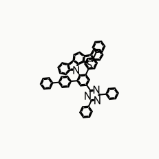 c1ccc(-c2ccc(-c3cc(-c4nc(-c5ccccc5)nc(-c5ccccc5)n4)cc(-c4ccc(-c5ccccc5)cc4)c3-n3c4ccccc4c4ccc5c6ccccc6sc5c43)cc2)cc1